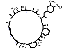 CCOC1CCC(CC(C)C2CC(=O)C(C)/C=C(/C)C(O)C(OC)C(=O)C(C)CC(C)/C=C/C=C/C=C(/C)C(OC)CC3CCC(C)C(O)(O3)C(=O)C(=O)N3CCCCC3C(=O)O2)CC1OC